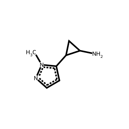 Cn1nccc1C1CC1N